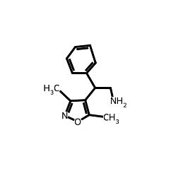 Cc1noc(C)c1C(CN)c1ccccc1